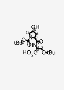 CC(C)(C)OC[C@H](NC(=O)C1C[C@@H](O)CN1C(=O)OC(C)(C)C)C(=O)O